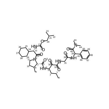 CCCC(NC(=O)[C@@H]1C(C)CCN1C(=O)[C@@H](NC(=O)OCC(C)C)C1CCCCC1)C(=O)C(=O)NCC(=O)NC(C(=O)N(C)C)c1ccccc1